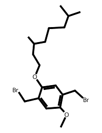 COc1cc(CBr)c(OCCC(C)CCCC(C)C)cc1CBr